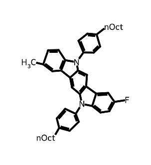 CCCCCCCCc1ccc(-n2c3ccc(C)cc3c3cc4c(cc32)c2cc(F)ccc2n4-c2ccc(CCCCCCCC)cc2)cc1